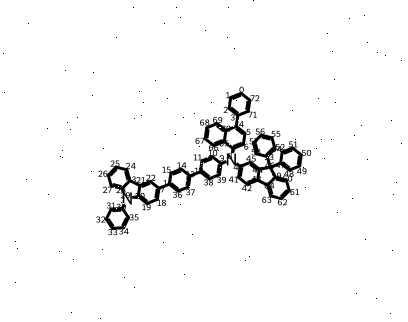 c1ccc(-c2ccc(N(c3ccc(-c4ccc(-c5ccc6c(c5)c5ccccc5n6-c5ccccc5)cc4)cc3)c3ccc4c(c3)C(c3ccccc3)(c3ccccc3)c3ccccc3-4)c3ccccc23)cc1